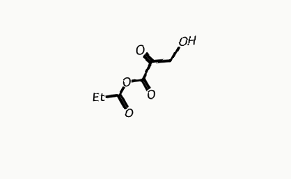 CCC(=O)OC(=O)C(=O)CO